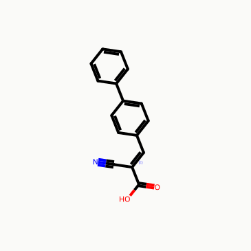 N#C/C(=C\c1ccc(-c2ccccc2)cc1)C(=O)O